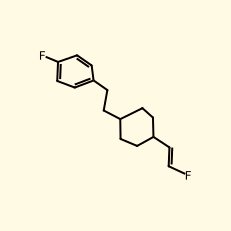 FC=CC1CCC(CCc2ccc(F)cc2)CC1